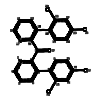 O=C(c1ncccc1-c1ccc(Cl)cc1Cl)c1ncccc1-c1ccc(Cl)cc1Cl